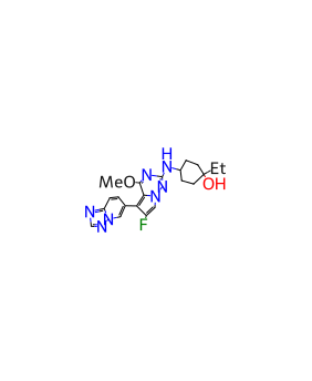 CCC1(O)CCC(Nc2nc(OC)c3c(-c4ccc5ncnn5c4)c(F)cn3n2)CC1